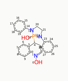 ON=CCC(c1ccccc1)[P]1(O)N(c2ccccc2)CCN1c1ccccc1